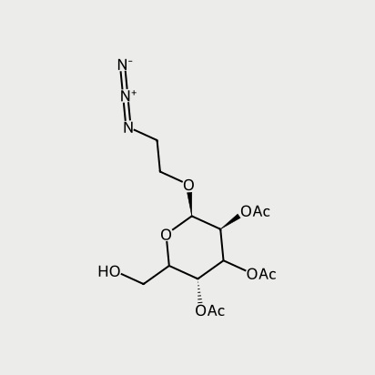 CC(=O)OC1[C@H](OC(C)=O)C(CO)O[C@@H](OCCN=[N+]=[N-])[C@H]1OC(C)=O